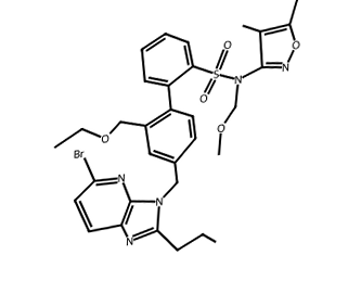 CCCc1nc2ccc(Br)nc2n1Cc1ccc(-c2ccccc2S(=O)(=O)N(COC)c2noc(C)c2C)c(COCC)c1